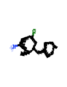 Cc1c(N)cc(Cl)cc1Cc1ccccc1